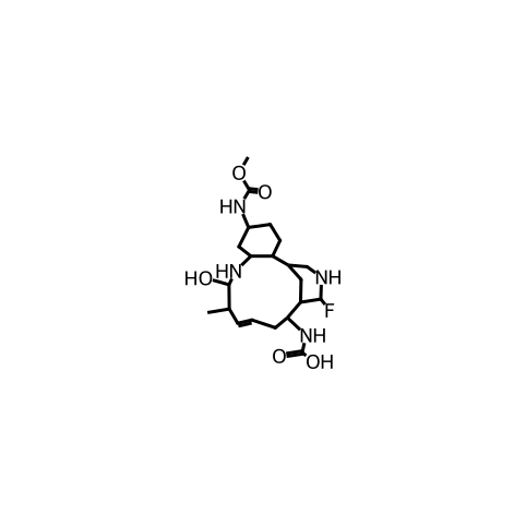 COC(=O)NC1CCC2C3CNC(F)C(C3)C(NC(=O)O)C/C=C/C(C)C(O)NC2C1